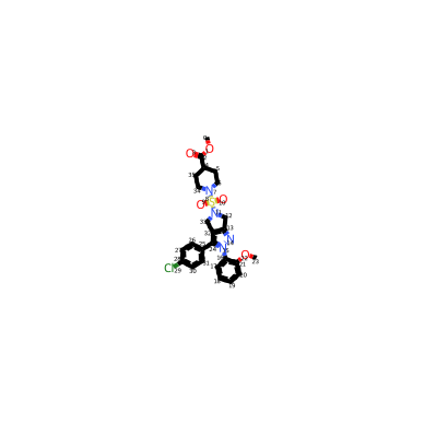 COC(=O)C1CCN(S(=O)(=O)N2Cc3nn(-c4ccccc4OC)c(-c4ccc(Cl)cc4)c3C2)CC1